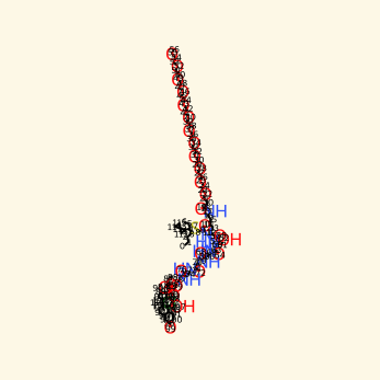 CCCCC(CC)(SCC(=O)N[C@@H](CCCCNC(=O)CCOCCOCCOCCOCCOCCOCCOCCOCCOCCOCCOCCOC)C(=O)N[C@@H](CO)C(=O)NCC(=O)NCC(=O)NCC(=O)NCOCC(=O)[C@@]1(OC(=O)CC)[C@@H](C)CC2[C@@H]3CCC4=CC(=O)C=C[C@]4(C)[C@@]3(Cl)[C@@H](O)C[C@@]21C)C1CC12CC2